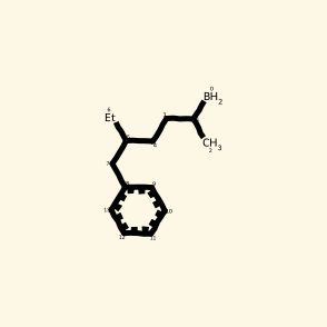 BC(C)CCC(CC)Cc1ccccc1